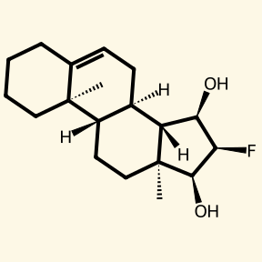 C[C@]12CC[C@H]3[C@@H](CC=C4CCCC[C@@]43C)[C@@H]1[C@@H](O)[C@@H](F)[C@H]2O